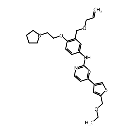 C=CCOCc1cc(Nc2nccc(-c3csc(COCC)c3)n2)ccc1OCCN1CCCC1